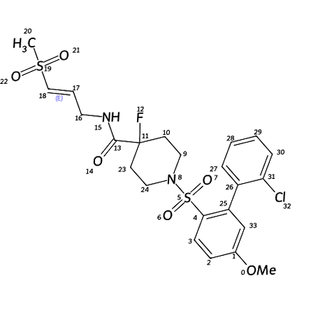 COc1ccc(S(=O)(=O)N2CCC(F)(C(=O)NC/C=C/S(C)(=O)=O)CC2)c(-c2ccccc2Cl)c1